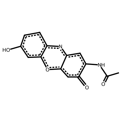 CC(=O)Nc1cc2nc3ccc(O)cc3oc-2cc1=O